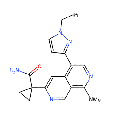 CNc1ncc(-c2ccn(CC(C)C)n2)c2cc(C3(C(N)=O)CC3)ncc12